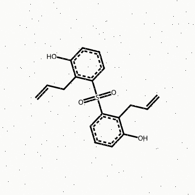 C=CCc1c(O)cccc1S(=O)(=O)c1cccc(O)c1CC=C